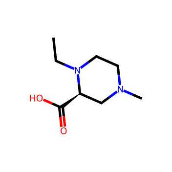 CCN1CCN(C)C[C@H]1C(=O)O